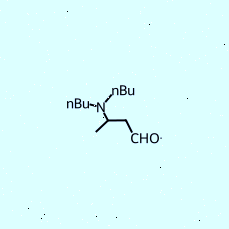 CCCCN(CCCC)C(C)C[C]=O